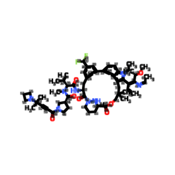 C=C/C(=C(\N=C/C)[C@H](C)OC)c1c2c3cc(ccc3n1CC)-c1cc(cc(C(F)F)c1)C[C@H](NC(=O)[C@H](C(C)C)N(C)C(=O)[C@H]1CCN(C(=O)C#CC(C)(C)N3CCC3)C1)C(=O)N1CCC[C@H](N1)C(=O)OCC(C)(C)C2